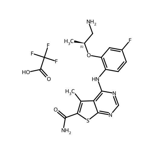 Cc1c(C(N)=O)sc2ncnc(Nc3ccc(F)cc3O[C@@H](C)CN)c12.O=C(O)C(F)(F)F